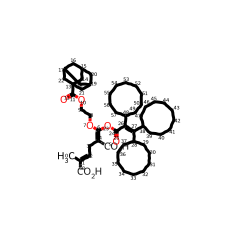 CC(=CCC(C(=O)O)=C(OCCOC(=O)C12CC3CC(CC(C3)C1)C2)OC(=O)C(=C(C1CCCCCCCCC1)C1CCCCCCCCC1)C1CCCCCCCCC1)C(=O)O